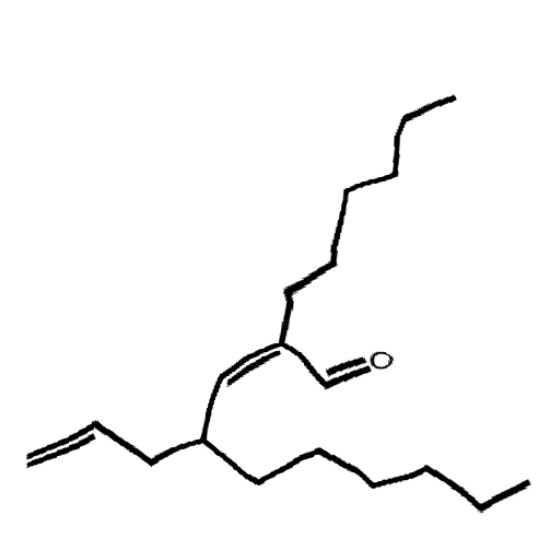 C=CCC(C=C(C=O)CCCCCC)CCCCCC